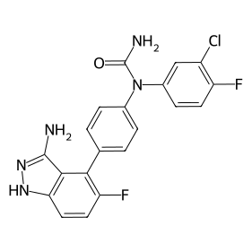 NC(=O)N(c1ccc(-c2c(F)ccc3[nH]nc(N)c23)cc1)c1ccc(F)c(Cl)c1